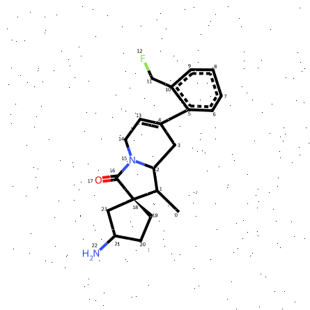 CC1C2CC(c3ccccc3CF)=CCN2C(=O)[C@]12CCC(N)C2